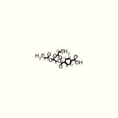 C=CC(=O)OC(COC(=O)c1ccc(C(=O)O)cc1)OC(=O)C=C